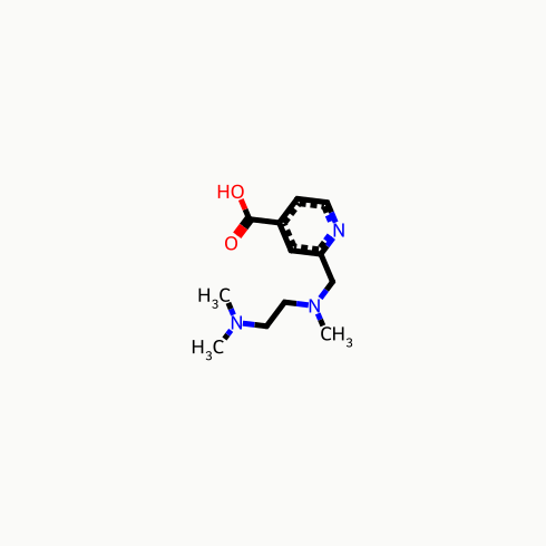 CN(C)CCN(C)Cc1cc(C(=O)O)ccn1